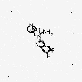 NC1OC2(CN3CCC2CC3)CN1c1cc2cc(F)c(F)cc2cn1